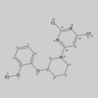 CCOc1ccccc1OC1CCCN(c2cc(C(F)(F)F)nc(Cl)n2)C1